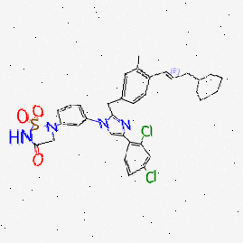 Cc1cc(Cc2nc(-c3ccc(Cl)cc3Cl)cn2-c2cccc(N3CC(=O)NS3(=O)=O)c2)ccc1/C=C/CC1CCCCC1